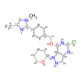 Cn1cc(C(F)(F)F)nc1-c1ccc(COc2nc(Cl)nc3cnn(C4CCCCO4)c23)cc1